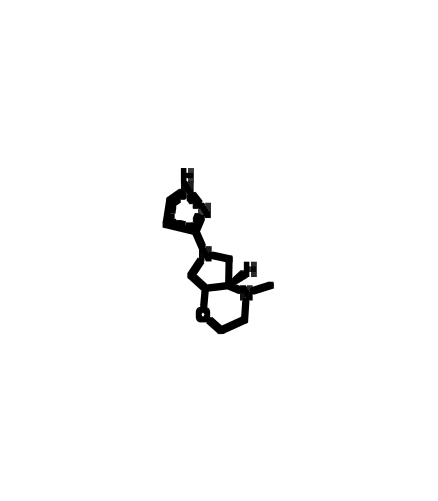 CN1CCOC2CN(c3cc[nH]n3)C[C@@H]21